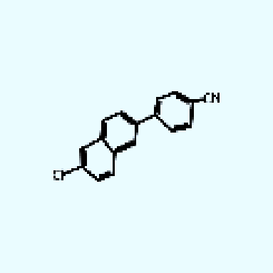 N#Cc1ccc(-c2ccc3cc(Cl)ccc3c2)cc1